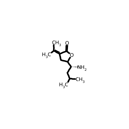 CC(C)=C1CC([C@H](N)CC(C)C)OC1=O